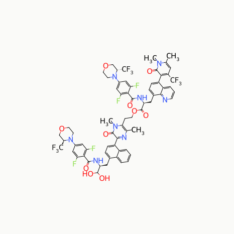 Cc1nc(-c2ccc(C[C@H](NC(=O)c3c(F)cc(N4CCOC[C@@H]4C(F)(F)F)cc3F)C(O)O)c3ccccc23)c(=O)n(C)c1CCOC(=O)[C@H](Cc1ccc(-c2c(C(F)(F)F)cc(C)n(C)c2=O)c2cccnc12)NC(=O)c1c(F)cc(N2CCOC[C@@H]2C(F)(F)F)cc1F